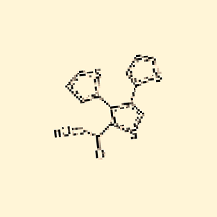 CCCCCCCCC(=O)c1scc(-c2cccs2)c1-c1cccs1